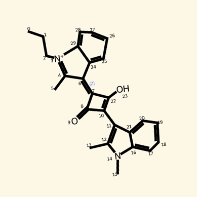 CCC[N+]1=C(C)/C(=C2\C(=O)C(c3c(C)n(C)c4ccccc34)=C2O)c2ccccc21